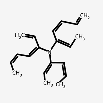 C=C/C=C\C(=C/C)N(/C(C=C)=C/C=C\C)C(/C=C\C)=C/C